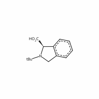 CC(C)(C)N1Cc2ccccc2[C@@H]1C(=O)O